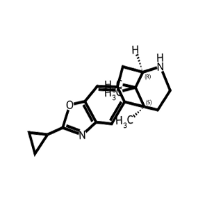 CC1(C)[C@H]2Cc3cc4oc(C5CC5)nc4cc3[C@]1(C)CCN2